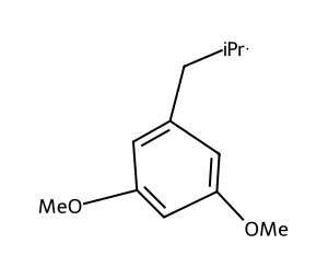 COc1cc(C[C](C)C)cc(OC)c1